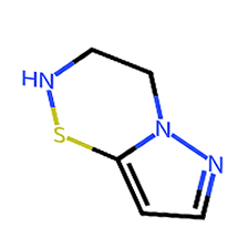 c1cc2n(n1)CCNS2